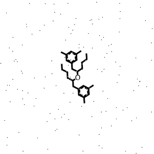 CCCCC(Cc1cc(C)cc(C)c1)OC(CCCC)Cc1cc(C)cc(C)c1